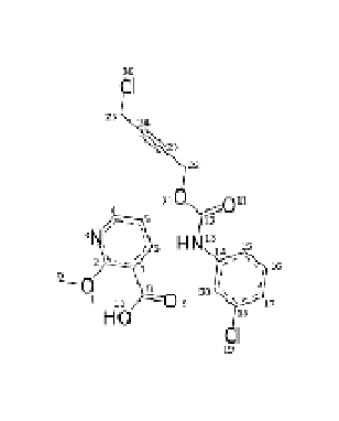 COc1ncccc1C(=O)O.O=C(Nc1cccc(Cl)c1)OCC#CCCl